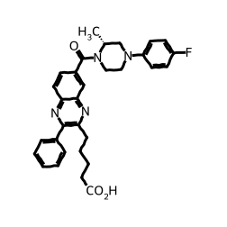 C[C@@H]1CN(c2ccc(F)cc2)CCN1C(=O)c1ccc2nc(-c3ccccc3)c(CCCCC(=O)O)nc2c1